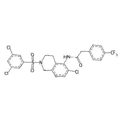 O=C(Cc1ccc(C(F)(F)F)cc1)Nc1c(Cl)ccc2c1CCN(S(=O)(=O)c1cc(Cl)cc(Cl)c1)C2